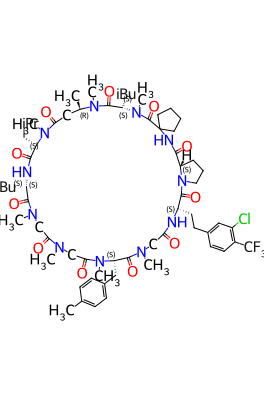 CC[C@H](C)[C@@H]1NC(=O)[C@H](CC(C)C)N(C)C(=O)C[C@@H](C)N(C)C(=O)[C@H]([C@@H](C)CC)N(C)C(=O)C2(CCCC2)NC(=O)[C@@H]2CCCN2C(=O)[C@H](CCc2ccc(C(F)(F)F)c(Cl)c2)NC(=O)CN(C)C(=O)[C@H](Cc2ccc(C)cc2)N(C)C(=O)CN(C)C(=O)CN(C)C1=O